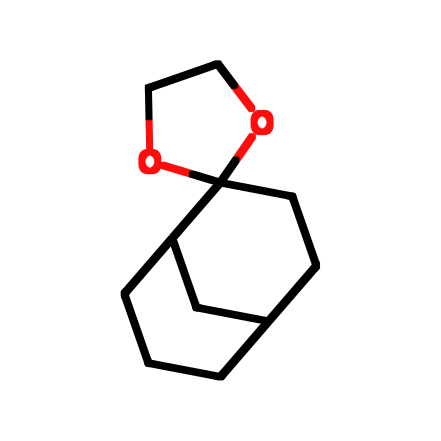 C1CC2CCC3(OCCO3)C(C1)C2